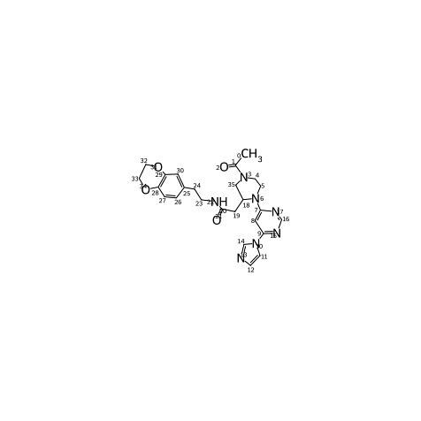 CC(=O)N1CCN(c2cc(-n3ccnc3)ncn2)C(CC(=O)NCCc2ccc3c(c2)OCCO3)C1